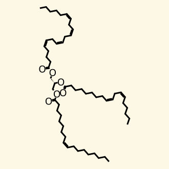 CCCCC/C=C\C/C=C\C/C=C\C/C=C\CCCC(=O)OC[C@@H](COC(=O)CCCCCCC/C=C\CCCCCCCC)OC(=O)CCCCCCC/C=C\C/C=C\CCCCC